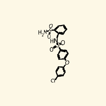 NS(=O)(=O)c1ccccc1NS(=O)(=O)c1ccc(Oc2ccc(Cl)cc2)cc1